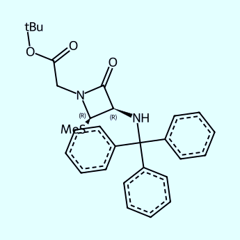 CS[C@@H]1[C@H](NC(c2ccccc2)(c2ccccc2)c2ccccc2)C(=O)N1CC(=O)OC(C)(C)C